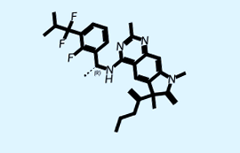 C=C(CCC)C1(C)C(=C)N(C)c2cc3nc(C)nc(N[C@H](C)c4cccc(C(F)(F)C(C)C)c4F)c3cc21